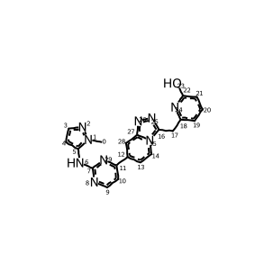 Cn1nccc1Nc1nccc(-c2ccn3c(Cc4cccc(O)n4)nnc3c2)n1